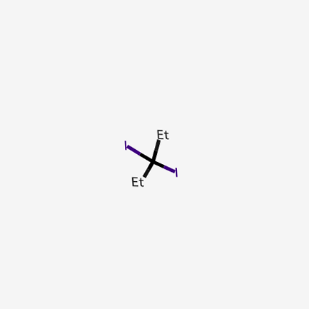 CCC(I)(I)CC